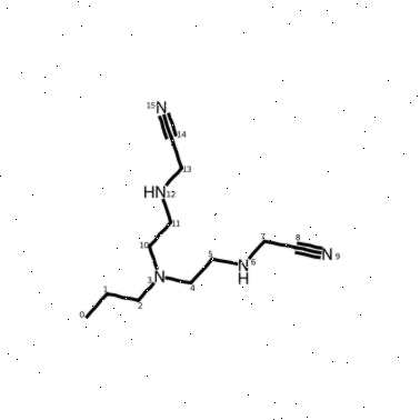 CCCN(CCNCC#N)CCNCC#N